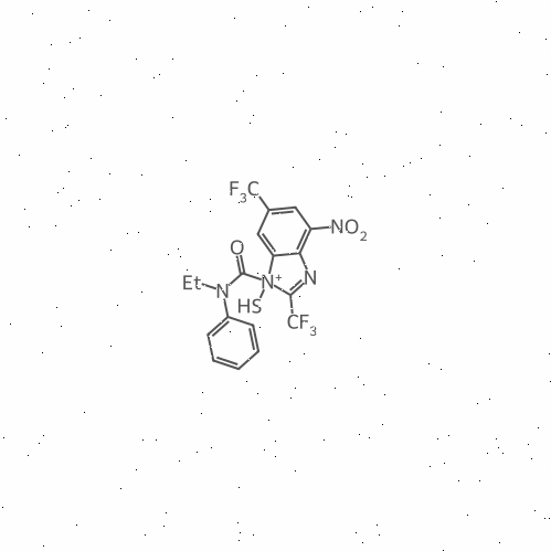 CCN(C(=O)[N+]1(S)C(C(F)(F)F)=Nc2c([N+](=O)[O-])cc(C(F)(F)F)cc21)c1ccccc1